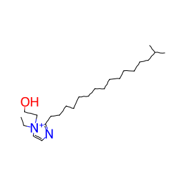 CC[N+]1(CCO)C=CN=C1CCCCCCCCCCCCCCC(C)C